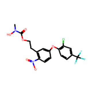 CN(O)C(=O)OCCc1cc(Oc2ccc(C(F)(F)F)cc2Cl)ccc1[N+](=O)[O-]